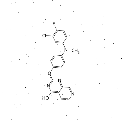 CN(c1ccc(Oc2nc(O)c3ccncc3n2)cc1)c1ccc(F)c(Cl)c1